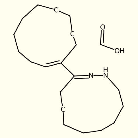 C1=C(C2=NNCCCCCCCC2)CCCCCCCCC1.O=CO